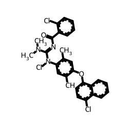 Cc1cc(N(Cl)C(=NC(=O)c2ccccc2Cl)N(C)C)c(C)cc1Oc1ccc(Cl)c2ccccc12